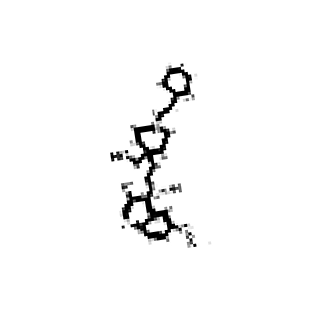 COc1ccc2ncc(F)c([C@@H](O)CCC3(CO)CCN(CCC4CCCCC4)CC3)c2c1